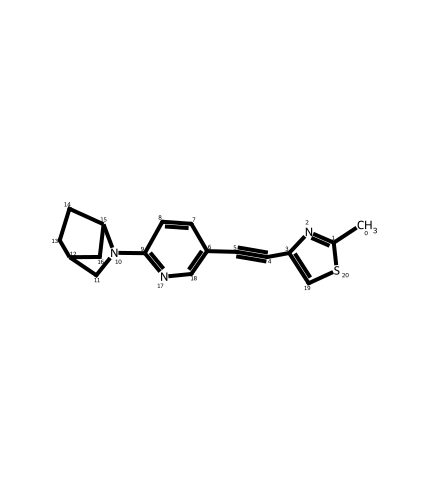 Cc1nc(C#Cc2ccc(N3CC4CCC3C4)nc2)cs1